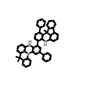 CC1(C)c2ccccc2N2c3cc(-c4ccccc4)cc(-c4ccc(-c5ccccc5)c5c4Nc4cccc6c4C5(C)c4ccccc4-6)c3Bc3cccc1c32